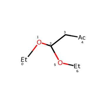 C[13CH2]OC(CC(C)=O)O[13CH2]C